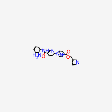 Nc1ccccc1NC(=O)c1ccc(N2CC3CCC2CN3C(=O)OCc2cccnc2)nc1